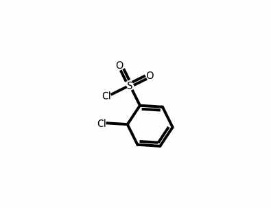 O=S(=O)(Cl)C1=CC=C=CC1Cl